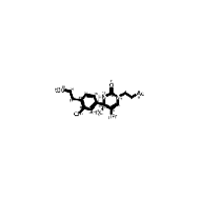 CC(=O)CCN1C=C(C(C)C)[C@](C)(c2ccc(CCC(C)(C)C)c(Cl)c2)NC1=O